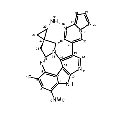 CNc1cc(F)c(F)c2c1[nH]c1ncc(-c3cnc4ccnn4c3)c(N3CC[C@]4(C[C@@H]4N)C3)c12